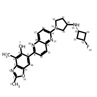 Cc1nc2c(C)c(O)c(-c3ccc4nc(N5CCC(N[C@H]6C[C@H](F)C6)C5)ccc4n3)cc2o1